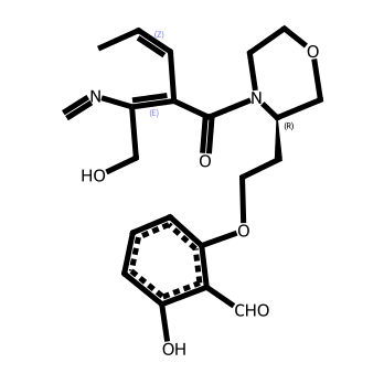 C=N/C(CO)=C(\C=C/C)C(=O)N1CCOC[C@H]1CCOc1cccc(O)c1C=O